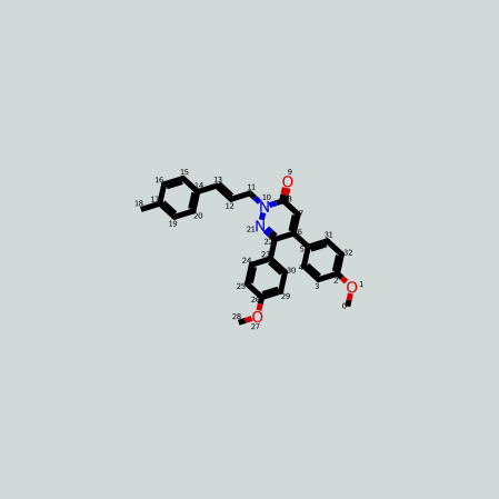 COc1ccc(-c2cc(=O)n(C/C=C/c3ccc(C)cc3)nc2-c2ccc(OC)cc2)cc1